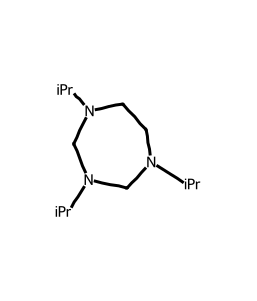 CC(C)N1CCN(C(C)C)CN(C(C)C)C1